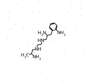 CC(N)CNCCNCC(N)Cc1ccccc1N